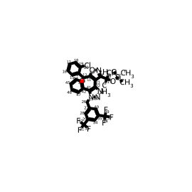 CC(C)(O[Si](C)(C)C)c1noc(C(=O)c2ccccc2Cl)c1-c1nnn(Cc2cc(C(F)(F)F)cc(C(F)(F)F)c2)c1-c1ccccc1